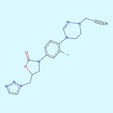 C#CCN1CCN(c2ccc(N3CC(Cn4ccnn4)OC3=O)cc2F)C=N1